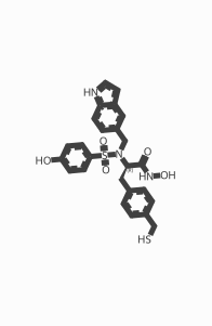 O=C(NO)[C@@H](Cc1ccc(CS)cc1)N(Cc1ccc2[nH]ccc2c1)S(=O)(=O)c1ccc(O)cc1